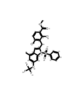 COC(=O)c1ccc(Cl)c(Cc2cc3c(C)cc(OC(F)(F)F)cc3n2S(=O)(=O)c2ccccc2)c1Cl